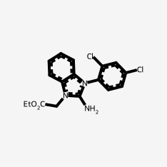 CCOC(=O)C[n+]1c(N)n(-c2ccc(Cl)cc2Cl)c2ccccc21